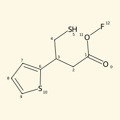 O=C(CC(CS)c1cccs1)OF